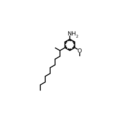 CCCCCCCCCC(C)c1cc(N)cc(OC)c1